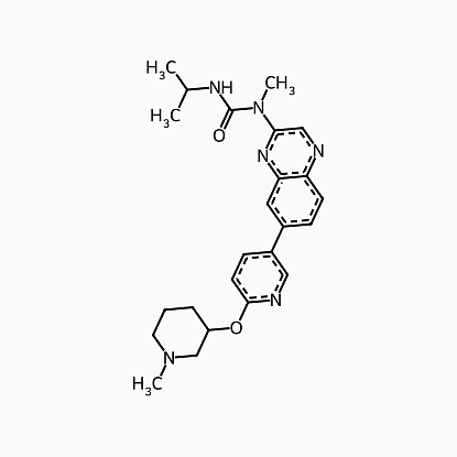 CC(C)NC(=O)N(C)c1cnc2ccc(-c3ccc(OC4CCCN(C)C4)nc3)cc2n1